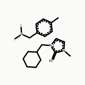 Cc1ccc(CN(I)I)cc1.Cn1ccn(CC2CCCCC2)[c]1=[Pt]